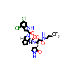 O=C(NCCCC(F)(F)F)C(=O)[C@H](C[C@@H]1CCNC1=O)NC(=O)[C@@H]1[C@H]2CCC[C@H]2CN1C(=O)c1cc2c(Cl)cc(Cl)cc2[nH]1